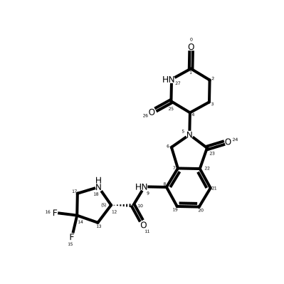 O=C1CCC(N2Cc3c(NC(=O)[C@@H]4CC(F)(F)CN4)cccc3C2=O)C(=O)N1